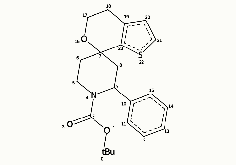 CC(C)(C)OC(=O)N1CCC2(CC1c1ccccc1)OCCc1ccsc12